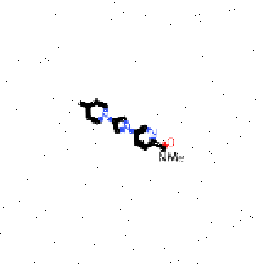 CNC(=O)c1ccc(N2CC(N3CCC(C)CC3)C2)cn1